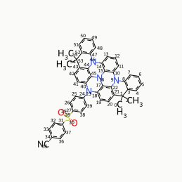 CC1(C)c2ccccc2N2c3cccc4c3N3c5c(ccc1c52)N(c1ccc(S(=O)(=O)c2ccc(C#N)cc2)cc1)c1ccc2c(c13)N4c1ccccc1C2(C)C